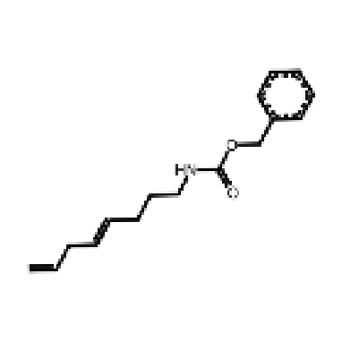 C=CCC=CCCCNC(=O)OCc1ccccc1